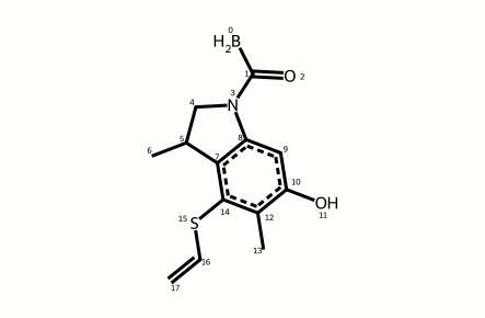 BC(=O)N1CC(C)c2c1cc(O)c(C)c2SC=C